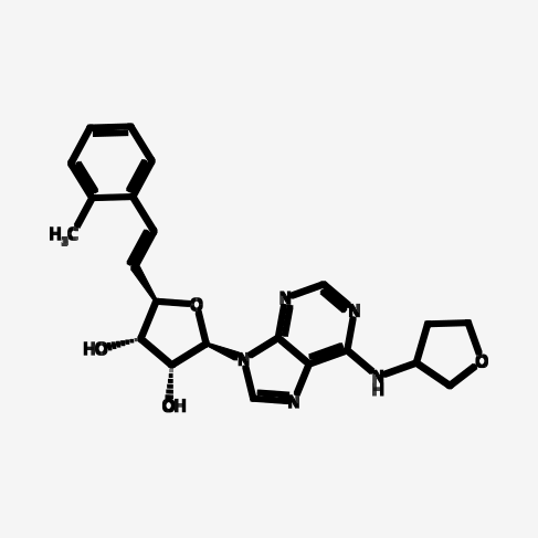 Cc1ccccc1C=C[C@H]1O[C@@H](n2cnc3c(NC4CCOC4)ncnc32)[C@H](O)[C@@H]1O